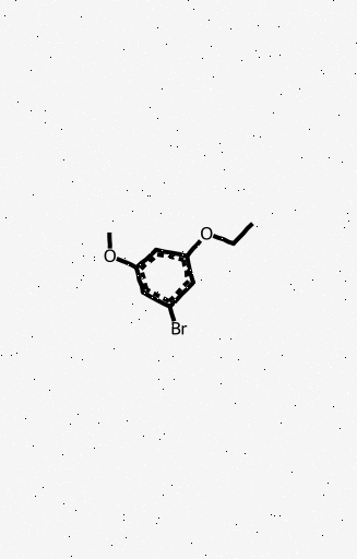 CCOc1cc(Br)cc(OC)c1